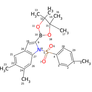 Cc1ccc(S(=O)(=O)n2c(B3OC(C)(C)C(C)(C)O3)cc3cc(C)c(C)cc32)cc1